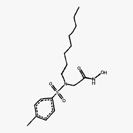 CCCCCCCCN(CC(=O)NO)S(=O)(=O)c1ccc(C)cc1